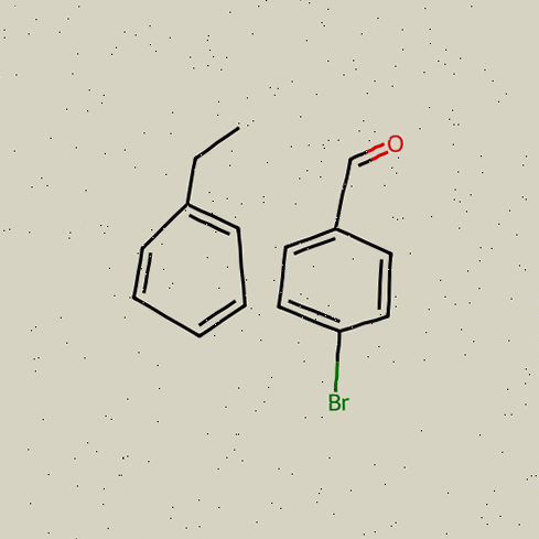 CCc1ccccc1.O=Cc1ccc(Br)cc1